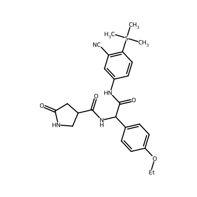 CCOc1ccc(C(NC(=O)C2CNC(=O)C2)C(=O)Nc2ccc(S(C)(C)C)c(C#N)c2)cc1